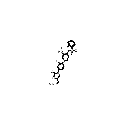 CC(=O)NCC1CN(c2ccc(N3CCC(OS(=O)(=O)c4ccccc4C)C(O)C3)c(F)c2)C(=O)O1